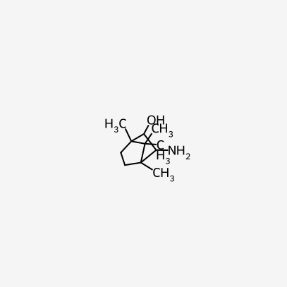 CC12CCC(C)(C(O)C1N)C2(C)C